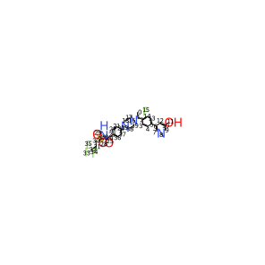 CC(c1ccc(-c2cncc(O)c2)cc1F)N1CCN(c2ccc(C(=O)NS(=O)(=O)CCC(F)(F)F)cc2)CC1